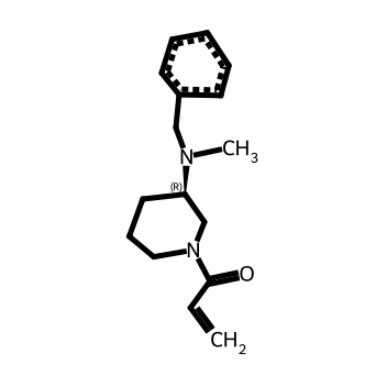 C=CC(=O)N1CCC[C@@H](N(C)Cc2ccccc2)C1